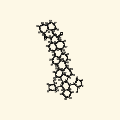 Cc1ccsc1-c1c2c(c(-c3sccc3C)c3ccccc13)-c1ccc3c4ccc5c6ccc7c8c(ccc(c9ccc(c%10ccc-2c1c%103)c4c95)c68)c(=O)n1c2cccc3cccc(nc71)c32